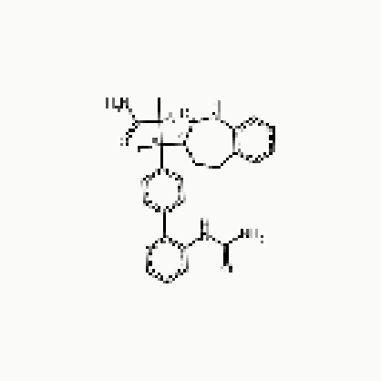 CC(N)(C(N)=O)[C@@](C)(c1ccc(-c2ccccc2NC(N)=O)cc1)C1CCc2ccccc2NC1=O